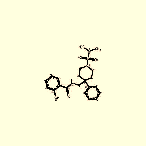 CN(C)S(=O)(=O)N1CCC(CNC(=O)c2ccccc2O)(c2ccccc2)CC1